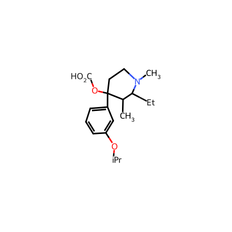 CCC1C(C)C(OC(=O)O)(c2cccc(OC(C)C)c2)CCN1C